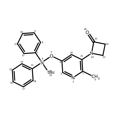 Cc1ncc(O[Si](c2ccccc2)(c2ccccc2)C(C)(C)C)cc1N1CCC1=O